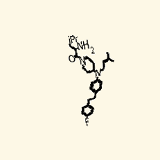 CC(C)=CCN(c1ccc(CCc2ccc(F)cc2)cc1)C1CCN(C(=O)[C@H](N)CC(C)C)CC1